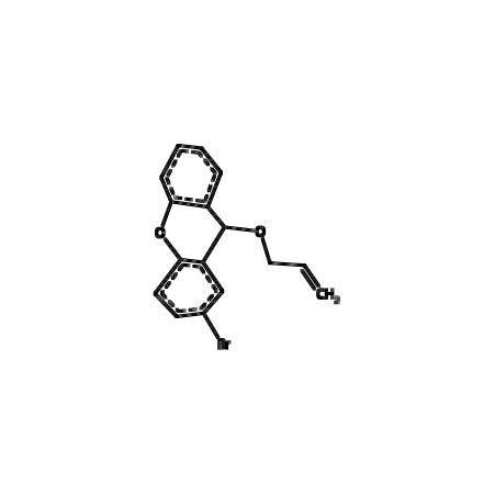 C=CCOC1c2ccccc2Oc2ccc(Br)cc21